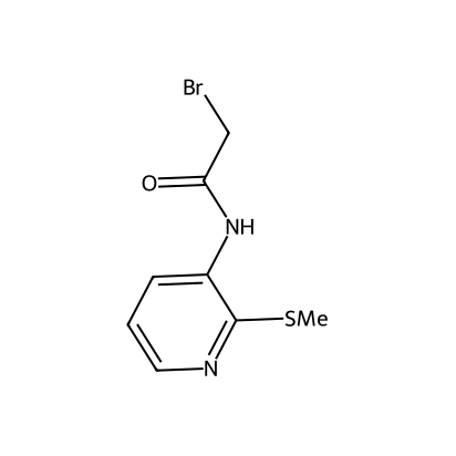 CSc1ncccc1NC(=O)CBr